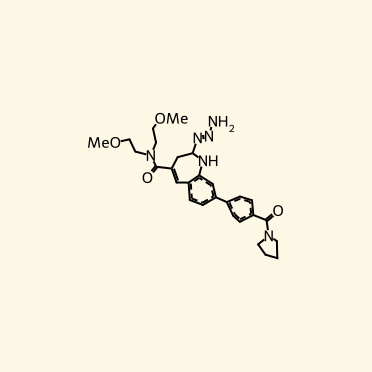 COCCN(CCOC)C(=O)C1=Cc2ccc(-c3ccc(C(=O)N4CCCC4)cc3)cc2NC(N=NN)C1